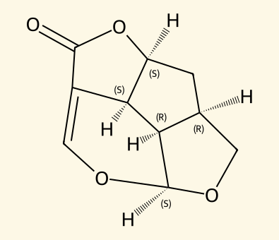 O=C1O[C@H]2C[C@H]3CO[C@H]4OC=C1[C@@H]2[C@@H]34